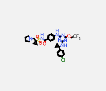 O=C(NS(=O)(=O)C1(CN2CCCC2)CC1)c1ccc(Nc2nc(NC3(c4ccc(Cl)cc4)CC3)nc(OCC(F)(F)F)n2)cc1